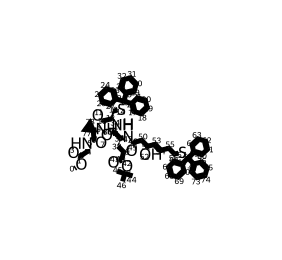 COC(=O)CNC(=O)C1(NC(=O)[C@@H](CSC(c2ccccc2)(c2ccccc2)c2ccccc2)NC(=O)[C@@H](CCC(=O)OC(C)(C)C)NC(=O)C[C@H](O)C=CCCSC(c2ccccc2)(c2ccccc2)c2ccccc2)CC1